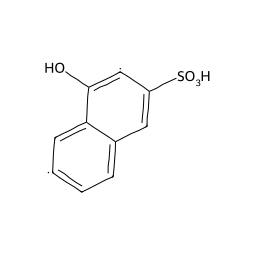 O=S(=O)(O)c1[c]c(O)c2c[c]ccc2c1